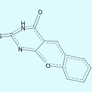 O=c1[nH]c(=S)nc2oc3ccccc3cc1-2